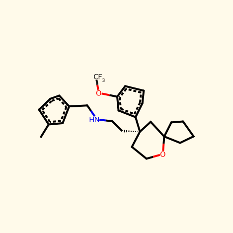 Cc1cccc(CNCC[C@@]2(c3cccc(OC(F)(F)F)c3)CCOC3(CCCC3)C2)c1